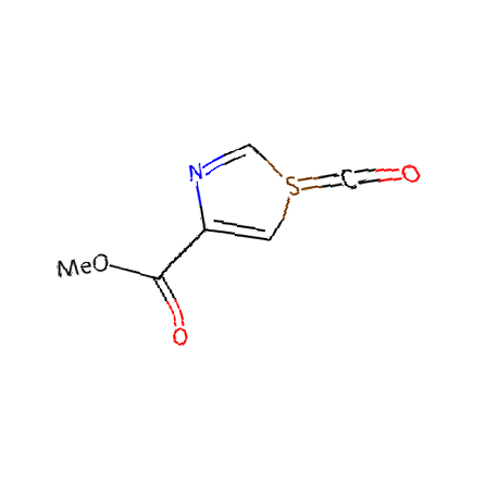 COC(=O)C1=CS(=C=O)C=N1